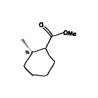 COC(=O)C1CCCC[C@@H]1C